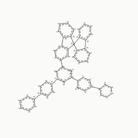 c1ccc(-c2ccc(-c3nc(-c4ccc5c(c4)C4(c6ccccc6-c6ccccc64)c4ccccc4-5)nc(-c4ccc(-c5ccccc5)cn4)n3)nc2)cc1